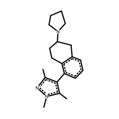 Cc1nn(C)c(C)c1-c1cccc2c1CCC(N1CCCC1)C2